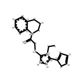 CCn1c(SCC(=O)N2CCCc3ccccc32)nnc1C1=CC=CC1